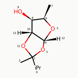 CC(C)C1(C)O[C@H]2O[C@H](C)[C@H](O)[C@H]2O1